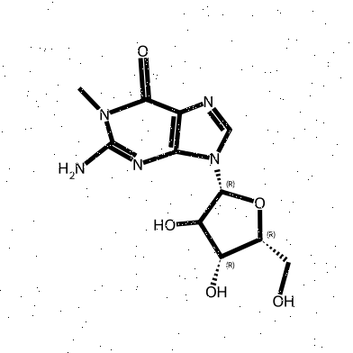 Cn1c(N)nc2c(ncn2[C@@H]2O[C@H](CO)[C@H](O)C2O)c1=O